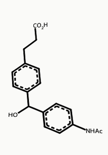 CC(=O)Nc1ccc(C(O)c2ccc(CCC(=O)O)cc2)cc1